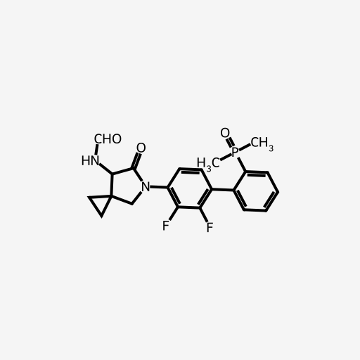 CP(C)(=O)c1ccccc1-c1ccc(N2CC3(CC3)C(NC=O)C2=O)c(F)c1F